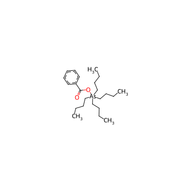 CCCC[As](CCCC)(CCCC)(CCCC)OC(=O)c1ccccc1